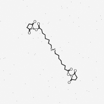 O=C(CCCCCCCSSCCCCCCCC(=O)ON1C(=O)CCC1=O)ON1C(=O)CCC1=O